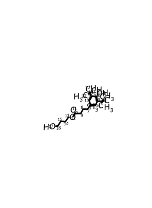 CC(C)(C)c1cc(CCCC(=O)OCCCCO)cc(C(C)(C)C)c1O